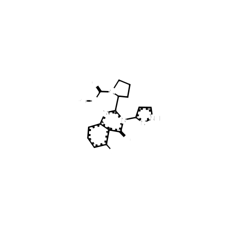 CC(C)(C)OC(=O)N1CCCC1c1nc2cccc(Cl)c2c(=O)n1-c1cc[nH]n1